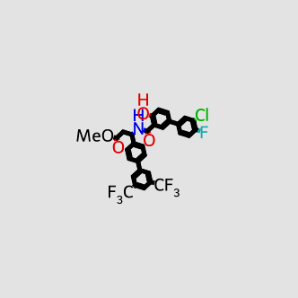 COC(=O)CC(NC(=O)c1cc(-c2ccc(F)c(Cl)c2)ccc1O)c1ccc(-c2cc(C(F)(F)F)cc(C(F)(F)F)c2)cc1